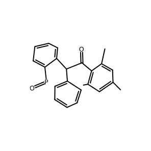 Cc1cc(C)c(C(=O)C(c2ccccc2)c2ccccc2P=O)c(C)c1